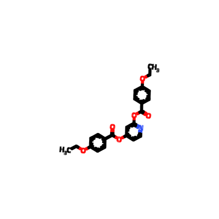 CCOc1ccc(C(=O)Oc2ccnc(OC(=O)c3ccc(OCC)cc3)c2)cc1